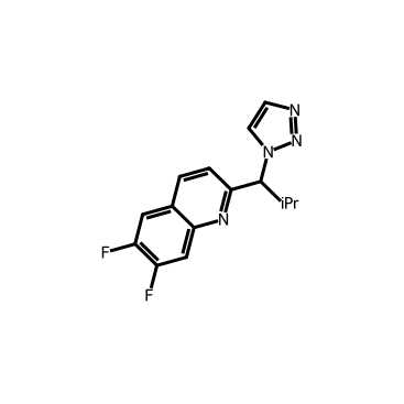 CC(C)C(c1ccc2cc(F)c(F)cc2n1)n1ccnn1